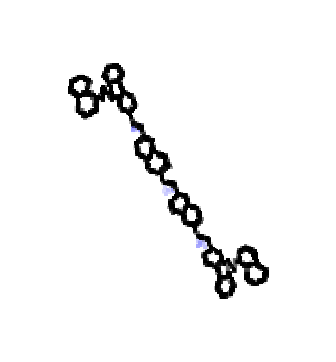 C(=C\c1ccc2cc(/C=C/c3ccc4c5ccccc5n(-c5cccc6ccccc56)c4c3)ccc2c1)/c1ccc2cc(/C=C/c3ccc4c5ccccc5n(-c5cccc6ccccc56)c4c3)ccc2c1